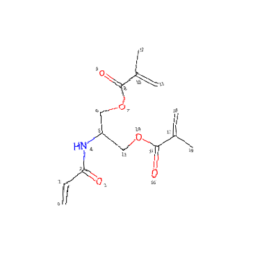 C=CC(=O)NC(COC(=O)C(=C)C)COC(=O)C(=C)C